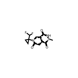 Cn1[nH]c(=O)c2cn(C3(C(F)F)CC3)c(=O)cc2c1=O